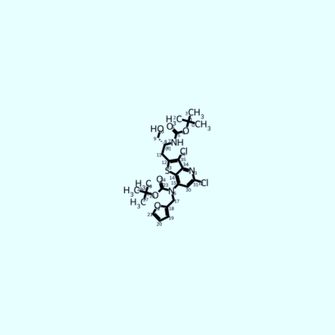 CC(C)(C)OC(=O)N[C@@H](CO)Cc1sc2c(N(Cc3ccco3)C(=O)OC(C)(C)C)cc(Cl)nc2c1Cl